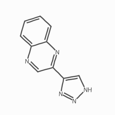 c1ccc2nc(-c3c[nH]nn3)cnc2c1